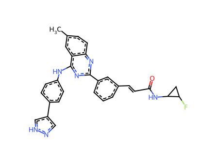 Cc1ccc2nc(-c3cccc(/C=C/C(=O)NC4CC4F)c3)nc(Nc3ccc(-c4cn[nH]c4)cc3)c2c1